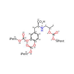 CCCCCOC(=O)OC(C)CN[C@@H](Cc1ccc(OC(=O)OC(C)CCC)c(OC(=O)OC(C)CCC)c1)C(=O)O